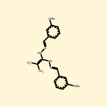 COc1cccc(/C=N/NC(N/N=C/c2cccc(OC)c2)=C(C)C)c1